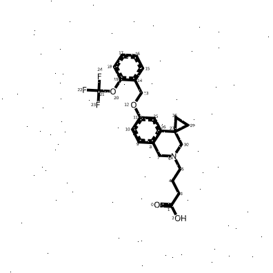 O=C(O)CCCN1Cc2ccc(OCc3ccccc3OC(F)(F)F)cc2C2(CC2)C1